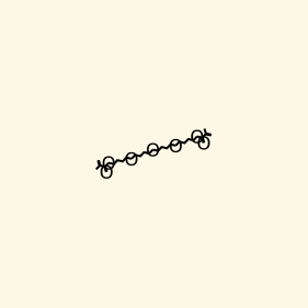 C=C(C)C(=O)OCCCCOCCCCOCCCCOCCCCOC(=O)C(=C)C